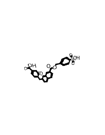 O=C(O)c1ccc(Cc2ccc3ccc(C(=O)OCc4ccc(S(=O)(=O)O)cc4)cc3c2O)cc1